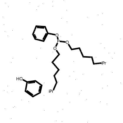 CC(C)CCCCCOP(OCCCCCC(C)C)Oc1ccccc1.Oc1ccccc1